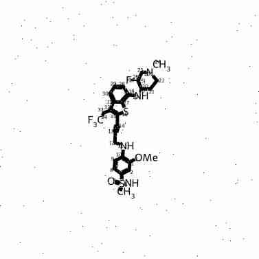 COc1cc(S(C)(=N)=O)ccc1NCC#Cc1sc2c(N[C@@H]3CCN(C)C[C@@H]3F)cccc2c1CC(F)(F)F